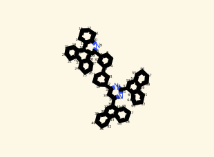 c1cc(-c2cccc(-c3nc4ccccc4c4c5ccccc5c5ccccc5c34)c2)cc(-c2cc(-c3cc4ccccc4c4ccccc34)nc(-c3cc4ccccc4c4ccccc34)n2)c1